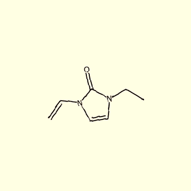 C=Cn1ccn(CC)c1=O